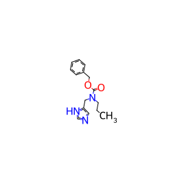 CCCN(Cc1cnc[nH]1)C(=O)OCc1ccccc1